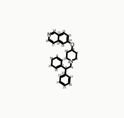 C1=CC(C(CN2CCC(Oc3ccc4cnccc4c3)CC2)c2ccccc2)=CCC1